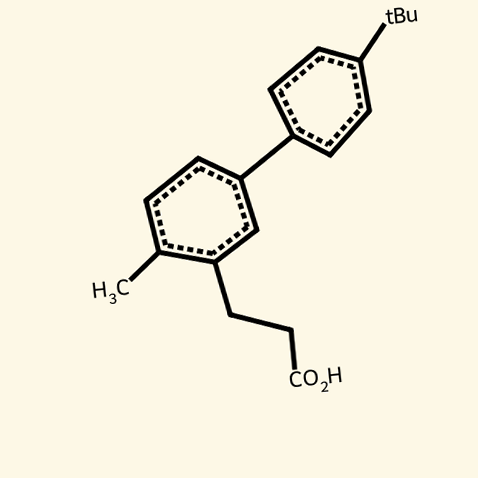 Cc1ccc(-c2ccc(C(C)(C)C)cc2)cc1CCC(=O)O